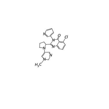 CN1C=C(N2CCCC2c2nc3cccc(Cl)c3c(=O)n2-c2cccnc2)C=NC1